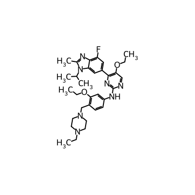 CCOc1cc(Nc2ncc(OCC)c(-c3cc(F)c4nc(C)n(C(C)C)c4c3)n2)ccc1CN1CCN(CC)CC1